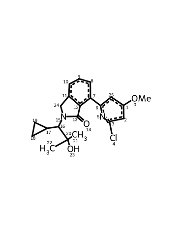 COc1cc(Cl)nc(-c2cccc3c2C(=O)N(C(C2CC2)C(C)(C)O)C3)c1